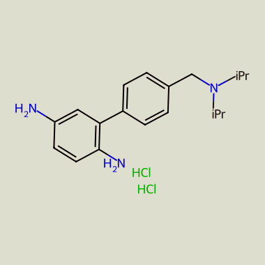 CC(C)N(Cc1ccc(-c2cc(N)ccc2N)cc1)C(C)C.Cl.Cl